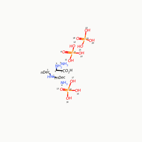 CCCCCCCCCCNCCCCCCCCCC.N.N.NCC(=O)O.O=P(O)(O)O.O=P(O)(O)O.O=P(O)(O)O